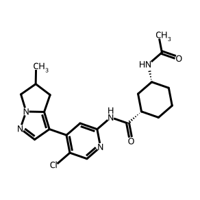 CC(=O)N[C@@H]1CCC[C@H](C(=O)Nc2cc(-c3cnn4c3CC(C)C4)c(Cl)cn2)C1